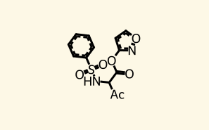 CC(=O)C(NS(=O)(=O)c1ccccc1)C(=O)Oc1ccon1